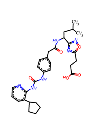 CC(C)CC(NC(=O)Cc1ccc(NC(=O)Nc2ncccc2C2CCCC2)cc1)c1noc(CCC(=O)O)n1